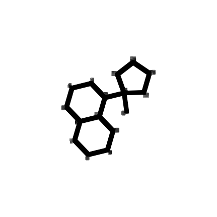 CC1([C]2CCCC3CCCCC23)CCCC1